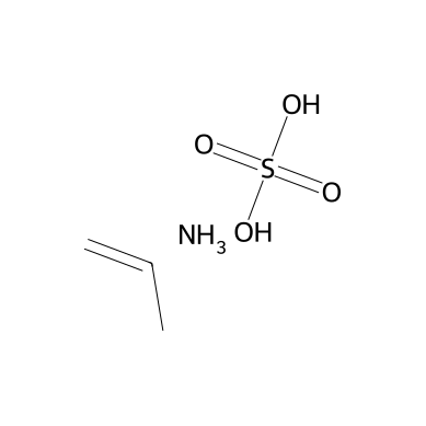 C=CC.N.O=S(=O)(O)O